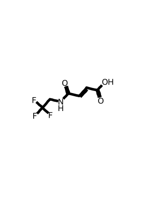 O=C(O)C=CC(=O)NCC(F)(F)F